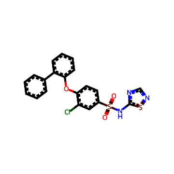 O=S(=O)(Nc1ncns1)c1ccc(Oc2ccccc2-c2ccccc2)c(Cl)c1